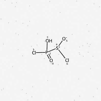 O=P(O)(Cl)[S+]([O-])Cl